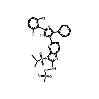 CC(C)S(=O)(=O)n1c(NOS(C)(=O)=O)nc2ccc(-c3[nH]c(-c4c(Cl)cccc4Cl)nc3-c3ccccc3)nc21